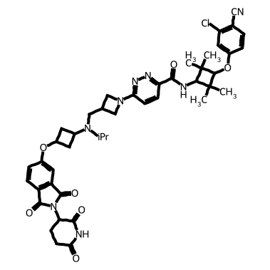 CC(C)N(CC1CN(c2ccc(C(=O)NC3C(C)(C)C(Oc4ccc(C#N)c(Cl)c4)C3(C)C)nn2)C1)C1CC(Oc2ccc3c(c2)C(=O)N(C2CCC(=O)NC2=O)C3=O)C1